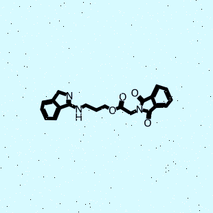 O=C(CN1C(=O)c2ccccc2C1=O)OCCCNC1=NCc2ccccc21